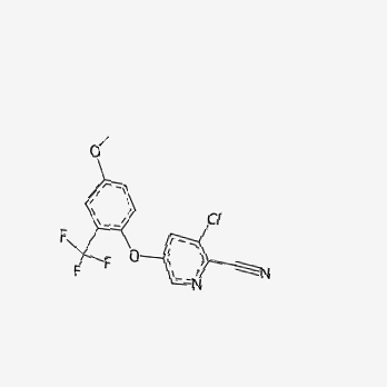 COc1ccc(Oc2cnc(C#N)c(Cl)c2)c(C(F)(F)F)c1